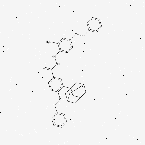 Nc1cc(OCc2ccccc2)ccc1NNC(=O)c1ccc(OCc2ccccc2)c(C23CC4CC(CC(C4)C2)C3)c1